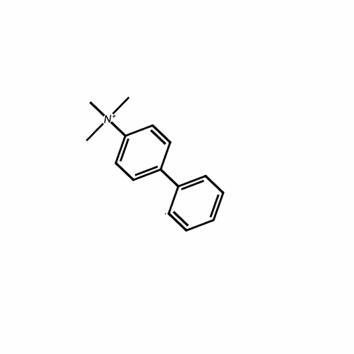 C[N+](C)(C)c1ccc(-c2[c]cccc2)cc1